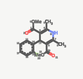 COC(=O)C1=C(C)NC(C)=C(C(=O)OC)C1c1ccccc1F